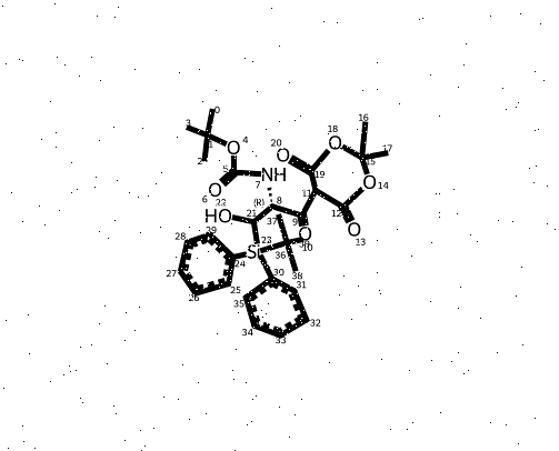 CC(C)(C)OC(=O)N[C@H](C(=O)C1C(=O)OC(C)(C)OC1=O)C(O)[Si](c1ccccc1)(c1ccccc1)C(C)(C)C